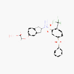 CC(Oc1ccc2c(c1)CC(NS(=O)(=O)c1cc(S(=O)(=O)c3ccccc3)ccc1C(F)(F)F)C2)C(=O)O